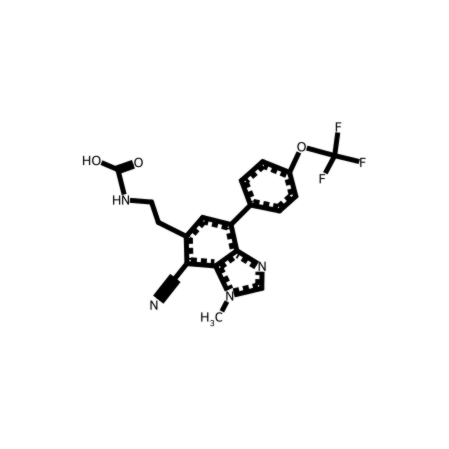 Cn1cnc2c(-c3ccc(OC(F)(F)F)cc3)cc(CCNC(=O)O)c(C#N)c21